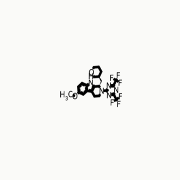 COc1ccc2[nH]c3c(c2c1)CCN(c1nc(C(F)(F)F)nc(C(F)(F)F)n1)[C@H]3C[C@@H]1CCCOC1